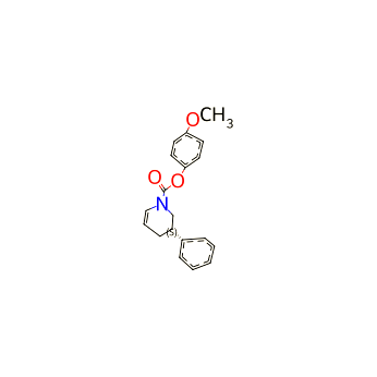 COc1ccc(OC(=O)N2C=CC[C@@H](c3ccccc3)C2)cc1